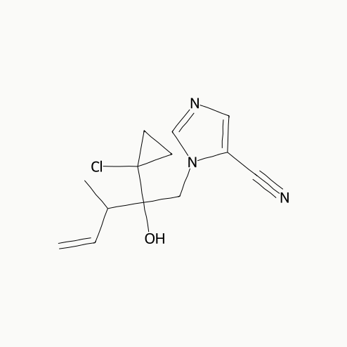 C=CC(C)C(O)(Cn1cncc1C#N)C1(Cl)CC1